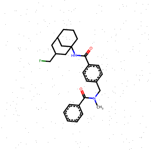 CN(Cc1ccc(C(=O)NC23CCCC(CC(CF)C2)C3)cc1)C(=O)c1ccccc1